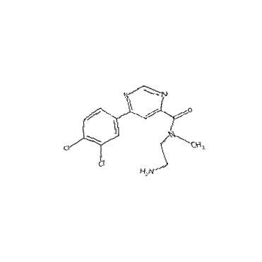 CN(CCN)C(=O)c1cc(-c2ccc(Cl)c(Cl)c2)ncn1